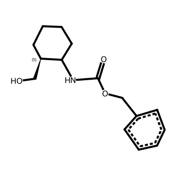 O=C(NC1CCCC[C@@H]1CO)OCc1ccccc1